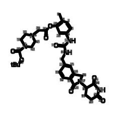 Cc1ccc(NC(=O)NCc2ccc3c(c2)CN(C2CCC(=O)NC2=O)C3=O)cc1OC(=O)CN1CCN(C(=O)OC(C)(C)C)CC1